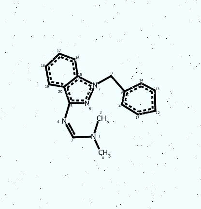 CN(C)/C=N\c1nn(Cc2ccccc2)c2ccccc12